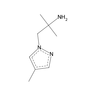 Cc1cnn(CC(C)(C)N)c1